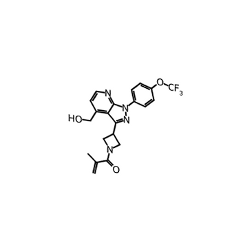 C=C(C)C(=O)N1CC(c2nn(-c3ccc(OC(F)(F)F)cc3)c3nccc(CO)c23)C1